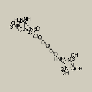 CC(=O)NCc1ccc(CNC(=O)[C@@H](CCCNC(=N)N)NC(=O)[C@@H](c2ccccc2)c2cccc(OCCOCCOCCOCCOCCNC(=O)CN3CCN(CC(=O)O)CCN(CC(=O)O)CCN(CC(=O)O)CC3)c2)cc1